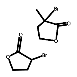 CC1(Br)CCOC1=O.O=C1OCCC1Br